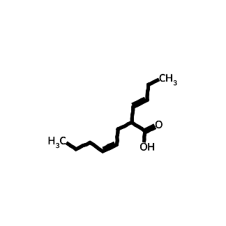 CC/C=C/C(C/C=C\CCC)C(=O)O